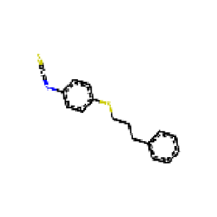 S=C=Nc1ccc(SCCCc2ccccc2)cc1